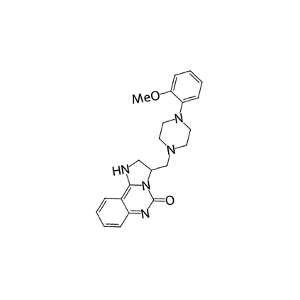 COc1ccccc1N1CCN(CC2CNc3c4ccccc4nc(=O)n32)CC1